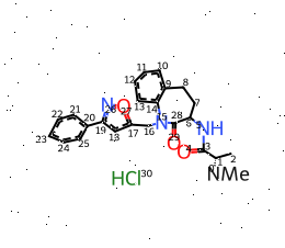 CN[C@@H](C)C(=O)NC1CCc2ccccc2N(Cc2cc(-c3ccccc3)no2)C1=O.Cl